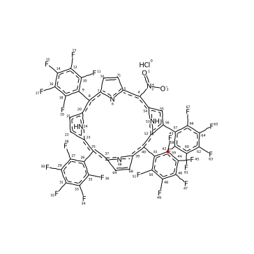 Cl.O=[N+]([O-])c1c2nc(c(-c3c(F)c(F)c(F)c(F)c3F)c3ccc([nH]3)c(-c3c(F)c(F)c(F)c(F)c3F)c3nc(c(-c4c(F)c(F)c(F)c(F)c4F)c4[nH]c1cc4-c1c(F)c(F)c(F)c(F)c1F)C=C3)C=C2